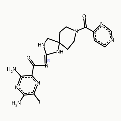 Nc1nc(N)c(C(=O)/N=C2\NCC3(CCN(C(=O)c4ccncn4)CC3)N2)nc1I